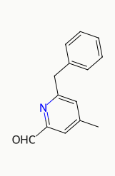 Cc1cc(C=O)nc(Cc2ccccc2)c1